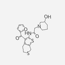 O=C(CN1CCCC(O)C1)Nc1sc2c(c1C(=O)c1ccco1)CCSC2